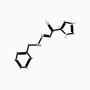 O=C(C=NNCc1ccccc1)c1cncs1